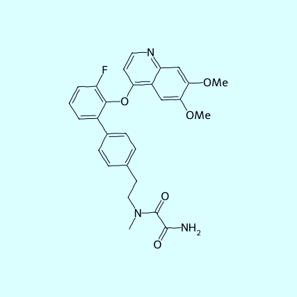 COc1cc2nccc(Oc3c(F)cccc3-c3ccc(CCN(C)C(=O)C(N)=O)cc3)c2cc1OC